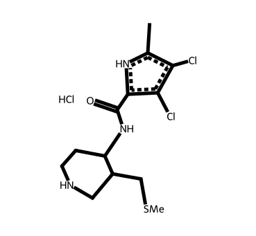 CSCC1CNCCC1NC(=O)c1[nH]c(C)c(Cl)c1Cl.Cl